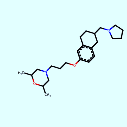 CC1CN(CCCOc2ccc3c(c2)CCC(CN2CCCC2)C3)CC(C)O1